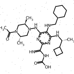 CC(=O)N1C[C@@H](C)N(Nc2nc(C(=N)NC(=O)O)nc(N[C@H](C)C3CCC3)c2NCC2CCCCC2)C[C@@H]1C